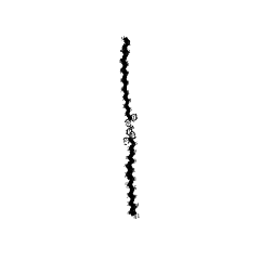 CCCCCCCCCCCCCCCCCC(=O)OCOOC(=O)CCCCCCCCCCCCCCCCC